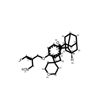 NC/C(=C\F)COc1ccc(C23CC4CC(C2)C(C(=O)N2CC5(CCOCC5)C2)[C@H](C4)C3)cc1